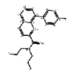 CCCN(CCC)C(=O)c1ccc2cncc(-c3ccc(C)cc3)c2n1